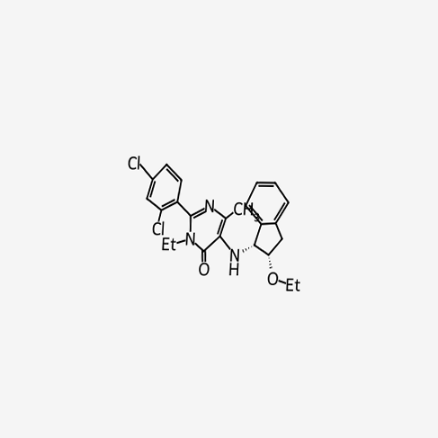 CCO[C@H]1Cc2ccccc2[C@H]1Nc1c(C)nc(-c2ccc(Cl)cc2Cl)n(CC)c1=O